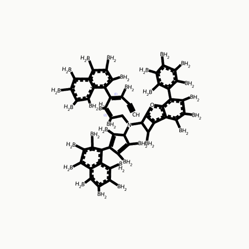 BC1=C(B)C(N(C/C(B)=C(B)\C(=C(\B)C#C)c2c(B)c(B)c(B)c3c(B)c(B)c(B)c(B)c23)C2c3oc4c(-c5c(B)c(B)c(B)c(B)c5B)c(B)c(B)c(B)c4c3C2B)C(B)=C1c1c(B)c(B)c(B)c2c(B)c(B)c(B)c(B)c12